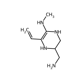 C=CC1=C(NC)NCC(CN)N1